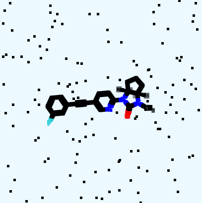 CN1C(=O)N(c2ccc(C#Cc3cccc(F)c3)cn2)[C@@H]2CCC[C@@H]21